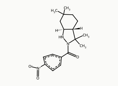 CC1(C)CC[C@H]2[C@H](C1)NN(C(=O)c1ccc([N+](=O)[O-])cc1)C2(C)C